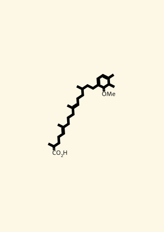 COC1C(CCC(C)CC/C=C(\C)CCC/C(C)=C/CCC(C)C(=O)O)=CC=C(C)C1C